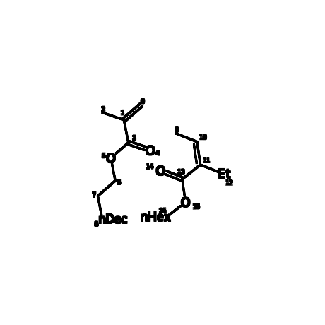 C=C(C)C(=O)OCCCCCCCCCCCC.CC=C(CC)C(=O)OCCCCCC